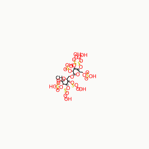 CO[C@H]1OC(CO[C@H]2OC(COS(=O)(=O)O)[C@@H](OSOOO)[C@H](OSOOO)C2OS(=O)(=O)O)[C@@H](OSOOO)[C@H](OSOOO)C1OS(=O)(=O)O